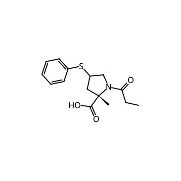 CCC(=O)N1CC(Sc2ccccc2)C[C@@]1(C)C(=O)O